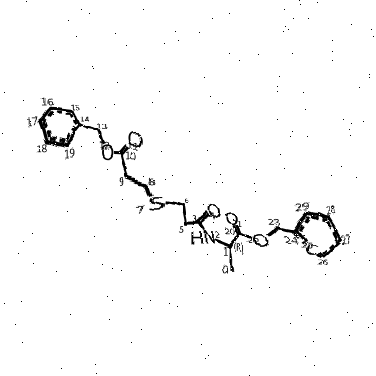 C[C@@H](NC(=O)CCSCCC(=O)OCc1ccccc1)C(=O)OCc1ccccc1